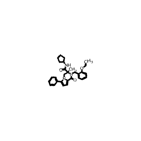 CCOc1ccccc1CN1C(=O)c2ccc(-c3ccccc3)n2CC1(C)C(=O)NC1CCCC1